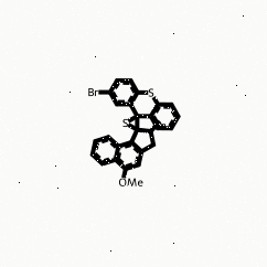 COc1cc2c(c3ccccc13)C1(SC13c1ccccc1Sc1ccc(Br)cc13)C(C)C2